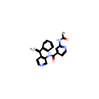 C=C(c1ccccc1)c1ccncc1NC(=O)c1ccnc(NC(=O)C(C)C)c1